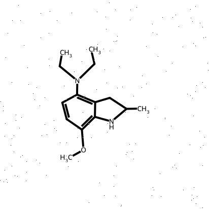 CCN(CC)c1ccc(OC)c2c1CC(C)N2